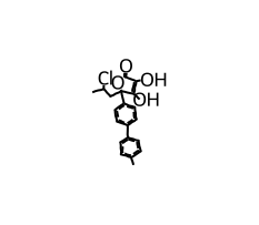 Cc1ccc(-c2ccc(C3(CC(C)Cl)OC(=O)C(O)=C3O)cc2)cc1